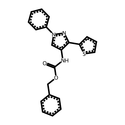 O=C(Nc1cn(-c2ccccc2)nc1-c1cccs1)OCc1ccccc1